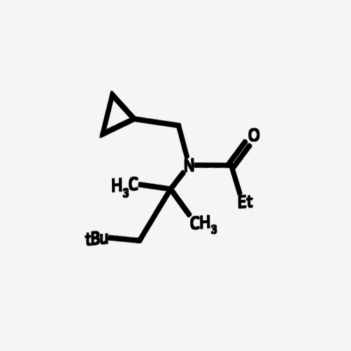 CCC(=O)N(CC1CC1)C(C)(C)CC(C)(C)C